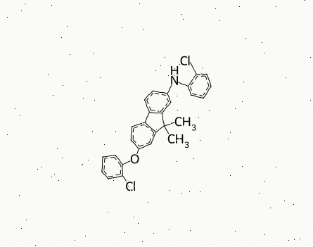 CC1(C)c2cc(Nc3ccccc3Cl)ccc2-c2ccc(Oc3ccccc3Cl)cc21